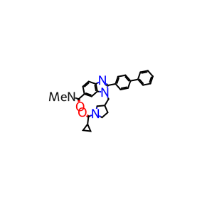 CNC(=O)c1ccc2nc(-c3ccc(-c4ccccc4)cc3)n(CC3CCN(C(=O)C4CC4)C3)c2c1